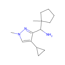 Cn1cc(C2CC2)c(C(N)C2(C)CCCC2)n1